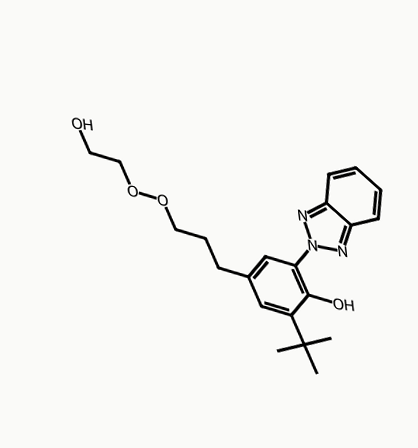 CC(C)(C)c1cc(CCCOOCCO)cc(-n2nc3ccccc3n2)c1O